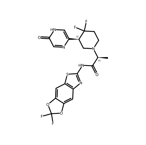 C[C@@H](C(=O)Nc1nc2cc3c(cc2s1)OC(F)(F)O3)N1CCC(F)(F)[C@H](c2c[nH]c(=O)cn2)C1